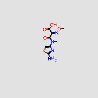 CON=C(C(=O)O)C(=O)N(C)c1csc(N)n1